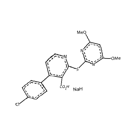 COc1cc(OC)nc(Sc2nccc(-c3ccc(Cl)cc3)c2C(=O)O)n1.[NaH]